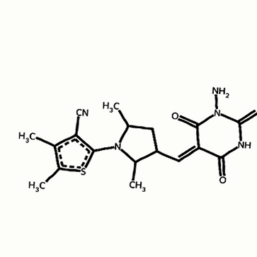 Cc1sc(N2C(C)CC(/C=C3/C(=O)NC(=S)N(N)C3=O)C2C)c(C#N)c1C